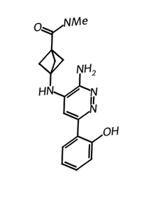 CNC(=O)C12CC(Nc3cc(-c4ccccc4O)nnc3N)(C1)C2